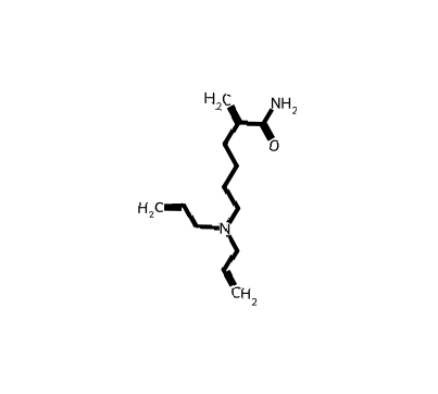 C=CCN(CC=C)CCCCC(=C)C(N)=O